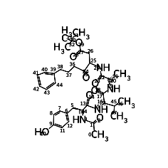 CC(=O)N[C@@H](Cc1ccc(O)cc1)C(=O)N[C@H](C(=O)N[C@@H](C)C(=O)NC(CC(=O)OC(C)(C)C)C(=O)CCCc1ccccc1)C(C)C